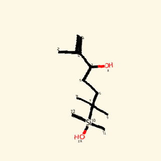 C=C(C)C(O)CCC(C)(C)[Si](C)(C)O